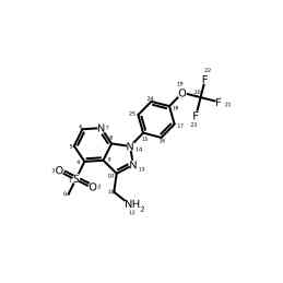 CS(=O)(=O)c1ccnc2c1c(CN)nn2-c1ccc(OC(F)(F)F)cc1